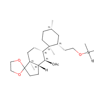 CC(=O)O[C@@H]1[C@@H]([C@@]2(C)CC[C@H](C)C[C@@H]2CCO[Si](C)(C)C(C)(C)C)CC[C@@]2(C)[C@H]1CCC21OCCO1